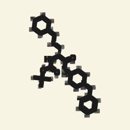 CC(C)(C)OC(=O)N[C@H](CSCC1CCCCC1)C(=O)NC1CCN(Cc2ccccc2)CC1